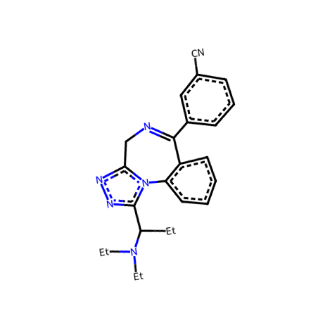 CCC(c1nnc2n1-c1ccccc1C(c1cccc(C#N)c1)=NC2)N(CC)CC